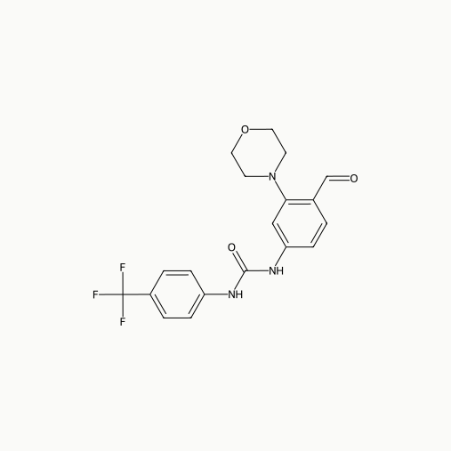 O=Cc1ccc(NC(=O)Nc2ccc(C(F)(F)F)cc2)cc1N1CCOCC1